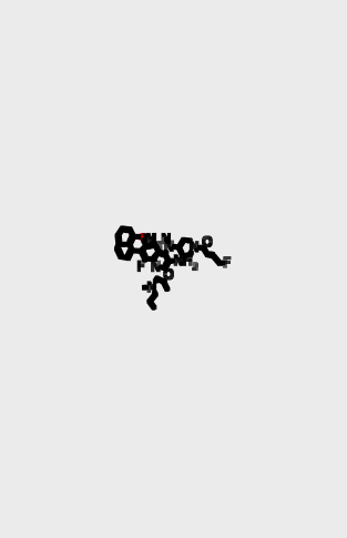 CCCN(C)CC(C)Oc1nc2c(F)c(-c3cccc4cccc(C#N)c34)c(C)cc2c(N(N)C2CCN(C(=O)/C=C/CF)CC2)c1N